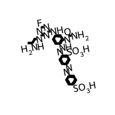 CC(N)CNc1nc(F)nc(Nc2ccc(N=Nc3ccc(N=Nc4ccc(S(=O)(=O)O)cc4)cc3S(=O)(=O)O)c(NC(N)=O)c2)n1